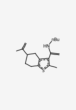 C=C(NCCCC)c1c(C)sc2c1CC(C(=C)C)CC2